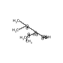 CCCCCCCCC(CCCCCCCC)OC(=O)CCCCCCCN(CCCCCC(=O)OCC(C)CCC)CC(O)CCCCNC(=O)c1cc[nH]c1